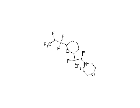 FC(C(F)(F)F)C(F)(F)C1CCCC(C(F)(C(F)N2CCOCC2)C(F)(F)F)O1